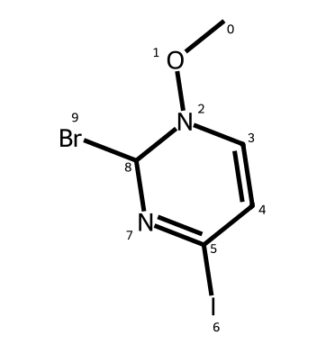 CON1C=CC(I)=NC1Br